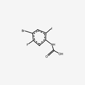 O=C(O)Nc1cc(F)c(Br)cc1I